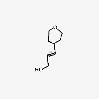 OC/C=C/C1CCOCC1